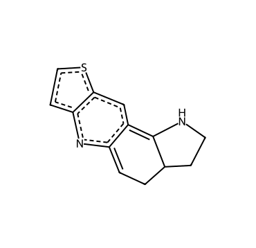 C1=c2nc3ccsc3cc2=C2NCCC2C1